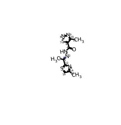 C/C(=N\NC(=O)c1snnc1C)c1nc(C)cs1